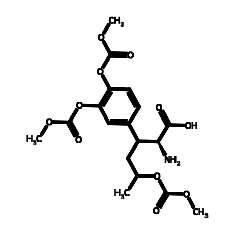 COC(=O)Oc1ccc(C(CC(C)OC(=O)OC)[C@H](N)C(=O)O)cc1OC(=O)OC